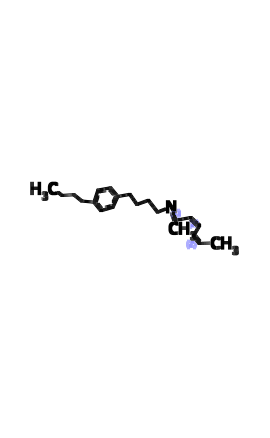 C\C=C/C=C\C(C)=N\CCCCc1ccc(CCCC)cc1